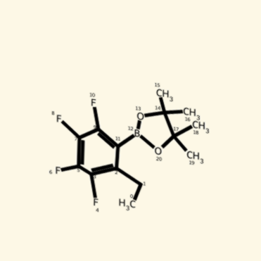 CCc1c(F)c(F)c(F)c(F)c1B1OC(C)(C)C(C)(C)O1